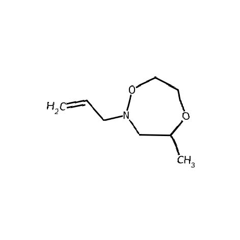 C=CCN1CC(C)OCCO1